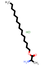 CCCCCCCCCCCCCCCCOC(=O)C(C)N.Cl